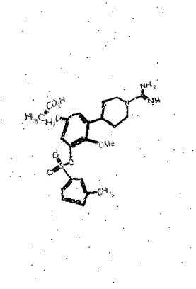 CC(=O)O.COc1c(OS(=O)(=O)c2cccc(C)c2)cc(C)cc1C1CCN(C(=N)N)CC1